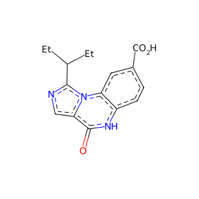 CCC(CC)c1ncc2c(=O)[nH]c3ccc(C(=O)O)cc3n12